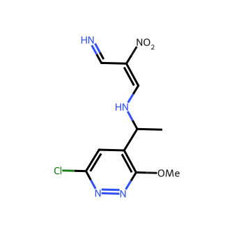 COc1nnc(Cl)cc1C(C)N/C=C(\C=N)[N+](=O)[O-]